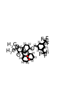 CON(C)C(=O)[C@@H]1C[C@@]2(c3ccccc3)[C@H](OCc3cc(C(F)(F)F)cc(C(F)(F)F)c3)CC[C@@H]1N2Cc1ccccc1